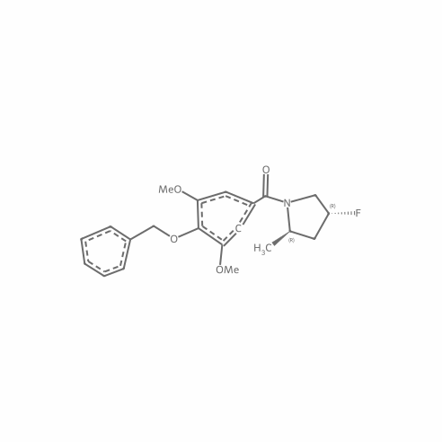 COc1cc(C(=O)N2C[C@H](F)C[C@H]2C)cc(OC)c1OCc1ccccc1